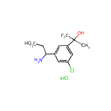 CC(O)(c1cc(Cl)cc(C(N)CC(=O)O)c1)C(F)(F)F.Cl